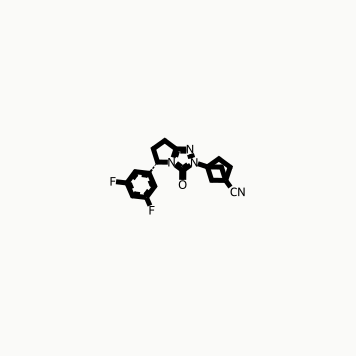 N#CC12CCC(n3nc4n(c3=O)[C@H](c3cc(F)cc(F)c3)CC4)(C1)C2